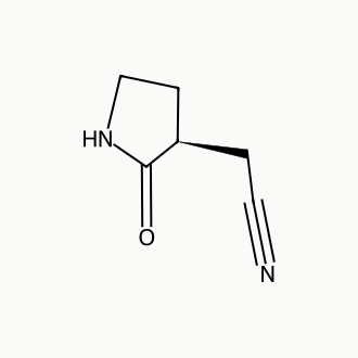 N#CC[C@@H]1CCNC1=O